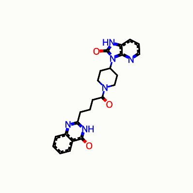 O=C(CCCc1nc2ccccc2c(=O)[nH]1)N1CCC(n2c(=O)[nH]c3cccnc32)CC1